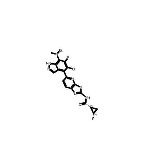 CCN(C)c1c(F)c(Cl)c(-c2ccc3nc(NC(=O)[C@@H]4C[C@@H]4F)sc3n2)c2cn[nH]c12